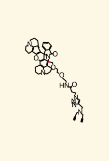 C#CCN(CC#C)Cc1cn(CCC(=O)NCCOCCOCCN2C(=O)c3ccccc3C23c2cc4c5c(c2Oc2c3cc3c6c2CCCN6CCC3)CCCN5CCC4)nn1